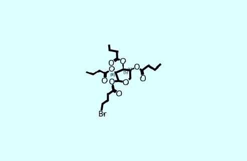 CCCC(=O)O[C@H]1[C@@H](OC(=O)CCC)COC(OC(=O)CCCBr)[C@@H]1OC(=O)CCC